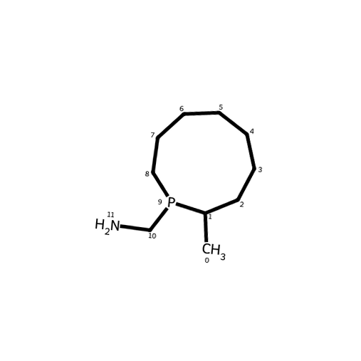 CC1CCCCCCCP1CN